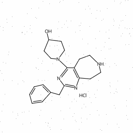 Cl.OC1CCN(c2nc(Cc3ccccc3)nc3c2CCNCC3)CC1